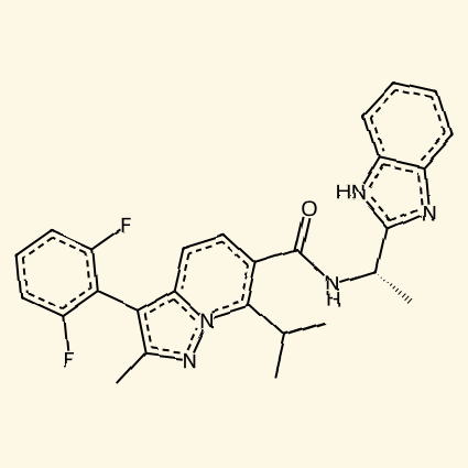 Cc1nn2c(C(C)C)c(C(=O)N[C@@H](C)c3nc4ccccc4[nH]3)ccc2c1-c1c(F)cccc1F